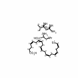 CC(C)C[C@H](N)C(=O)O.CC/C=C\C/C=C\C/C=C\C/C=C\C/C=C\C/C=C\CCC(=O)O.CN(C)C(=N)NC(=N)N